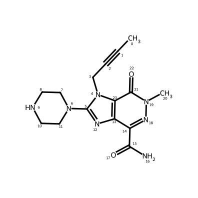 CC#CCn1c(N2CCNCC2)nc2c(C(N)=O)nn(C)c(=O)c21